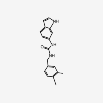 Cc1ccc(CNC(=O)Nc2ccc3cc[nH]c3c2)cc1C